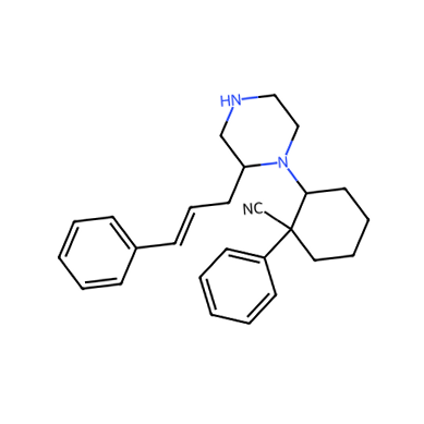 N#CC1(c2ccccc2)CCCCC1N1CCNCC1CC=Cc1ccccc1